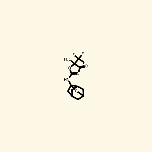 CC1(C(F)(F)F)OC(NC23CC4CC(CC2C4)C3)=NC1=O